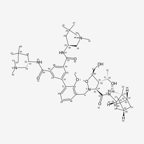 COc1c(CN2O[C@@H](CO)[C@H]([C@H](C)O)[C@H]2C(=O)N[C@H]2C[C@H]3C[C@@H]([C@@H]2C)C3(C)C)cccc1-c1cc(C(=O)N[C@H](CN(C)C)CC(C)(C)C)cc(C(=O)N[C@H](CN(C)C)CC(C)(C)C)c1